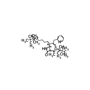 C[C@@H](O[Si](C)(C)C(C)(C)C)[C@H]1C(=O)N[C@H]1[C@@H](CCCCO[Si](C)(C)C(C)(C)C)C(=S)Cc1ccccn1